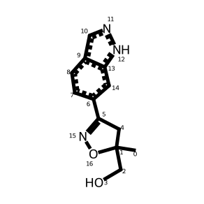 CC1(CO)CC(c2ccc3cn[nH]c3c2)=NO1